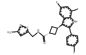 Cc1cc(CNC(=O)[C@H]2C[C@H](c3c(-c4ccc(F)cc4)[nH]c4c(F)cc(F)cc43)C2)on1